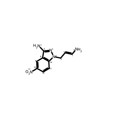 NC=CCn1nc(N)c2cc([N+](=O)[O-])ccc21